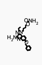 CCc1nc2c(N)nc3cc(OCc4ccccc4)ccc3c2n1CCCCOC(N)=O